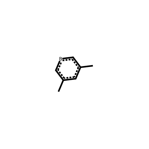 Cc1cbcc(C)c1